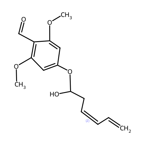 C=C/C=C\CC(O)Oc1cc(OC)c(C=O)c(OC)c1